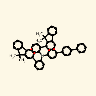 CC1(C)c2ccccc2-c2ccc(-c3ccccc3N(c3ccc(-c4ccc(-c5ccccc5)cc4)cc3)c3ccccc3-c3cccc4c3C(C)(C)c3ccccc3-4)cc21